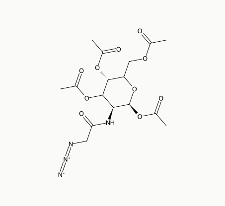 CC(=O)OCC1O[C@@H](OC(C)=O)[C@@H](NC(=O)CN=[N+]=[N-])C(OC(C)=O)[C@@H]1OC(C)=O